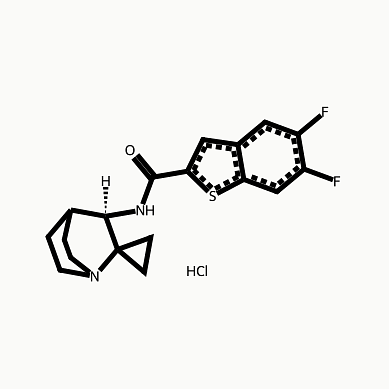 Cl.O=C(N[C@@H]1C2CCN(CC2)C12CC2)c1cc2cc(F)c(F)cc2s1